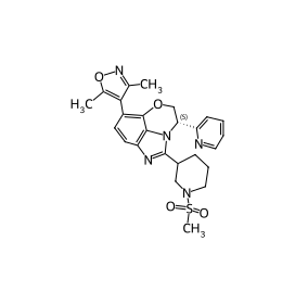 Cc1noc(C)c1-c1ccc2nc(C3CCCN(S(C)(=O)=O)C3)n3c2c1OC[C@@H]3c1ccccn1